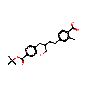 Cc1cc(CCC(CO)Cc2ccc(C(=O)OC(C)(C)C)cc2)ccc1C(=O)O